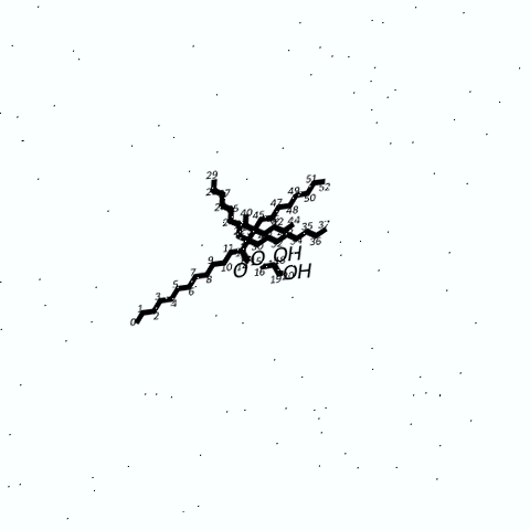 CCCCCCCCCCCCC(C(=O)OCC(O)CO)C(CCCCCCCC)(CCCCCCCC)C(CC)(CCCC)CCCCCCCC